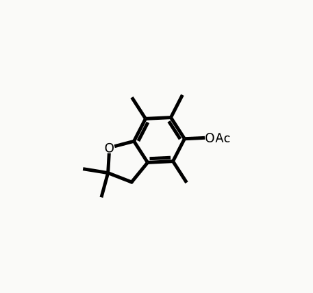 CC(=O)Oc1c(C)c(C)c2c(c1C)CC(C)(C)O2